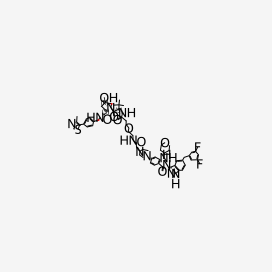 Cc1ncsc1-c1ccc(CNC(=O)[C@@H]2C[C@@H](O)CN2C(=O)[C@@H](NC(=O)CCOCCNC(=O)CN2CCN(c3ccc(C(=O)Nc4n[nH]c5ccc(Cc6cc(F)cc(F)c6)cc45)c(NC4CCOCC4)c3)CC2)C(C)(C)C)cc1